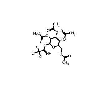 CC(=O)OC[C@H]1OC(OC(=N)C(Cl)(Cl)Cl)[C@@H](OC(C)=O)[C@@H](OC(C)=O)[C@@H]1OC(C)=O